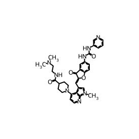 CN(C)CCNC(=O)C1CCN(c2ccnc3c2c(/C=C2\Oc4ccc(NC(=O)Nc5cccnc5)cc4C2=O)cn3C)CC1